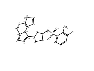 Cc1c(Cl)cccc1S(=O)(=O)N[C@H]1CC[C@@H](c2nnc3cnc4[nH]ccc4n23)C1